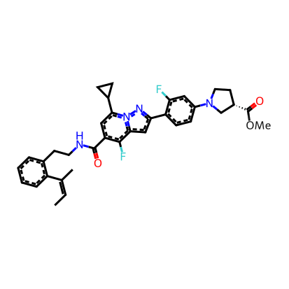 C/C=C(/C)c1ccccc1CCNC(=O)c1cc(C2CC2)n2nc(-c3ccc(N4CC[C@H](C(=O)OC)C4)cc3F)cc2c1F